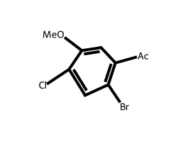 COc1cc(C(C)=O)c(Br)cc1Cl